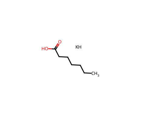 CCCCCCC(=O)O.[KH]